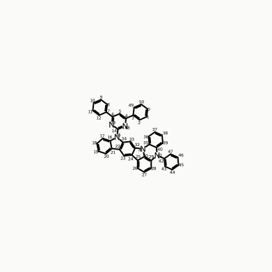 c1ccc(-c2cc(-c3ccccc3)nc(-n3c4ccccc4c4cc5c6cccc7c6n(c5cc43)-c3ccccc3N7c3ccccc3)n2)cc1